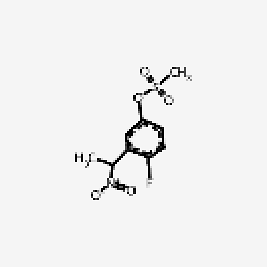 CC(c1cc(OS(C)(=O)=O)ccc1F)[N+](=O)[O-]